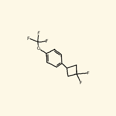 FC1(F)CC(c2ccc(OC(F)(F)F)cc2)C1